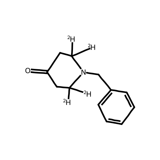 [2H]C1([2H])CC(=O)CC([2H])([2H])N1Cc1ccccc1